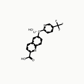 O=C(O)c1ccc2cc(Oc3ccc(C(F)(F)F)cn3)ccc2n1.[Li+].[OH-]